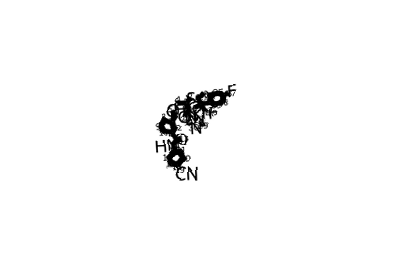 CC(SC1COC(c2cccc(C(=O)Nc3ccc(C#N)cc3)c2)OC1)C(O)(Cn1cncn1)c1ccc(F)cc1F